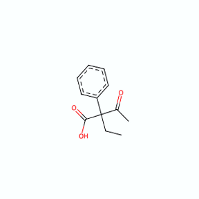 CCC(C(C)=O)(C(=O)O)c1ccccc1